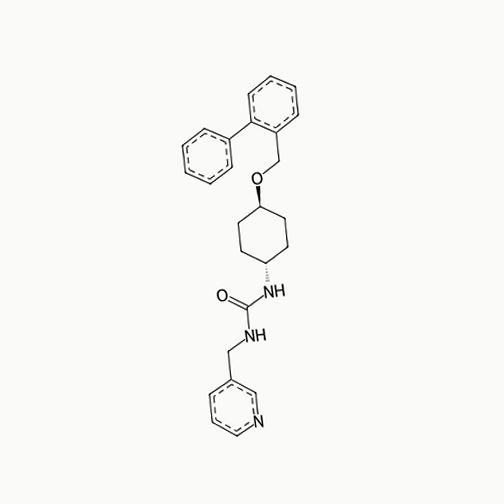 O=C(NCc1cccnc1)N[C@H]1CC[C@H](OCc2ccccc2-c2ccccc2)CC1